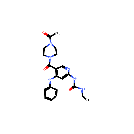 CCNC(=O)Nc1cc(Nc2ccccc2)c(C(=O)N2CCN(C(C)=O)CC2)cn1